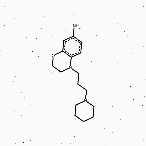 Nc1ccc2c(c1)OCCN2CCCN1CCCCC1